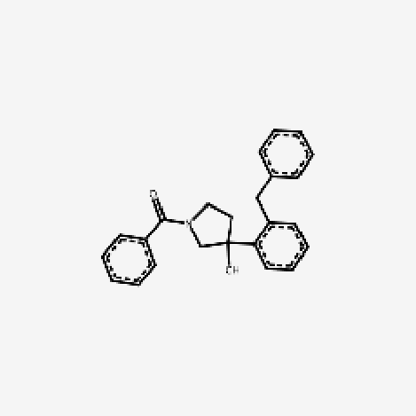 O=C(c1ccccc1)N1CCC(O)(c2ccccc2Cc2ccccc2)C1